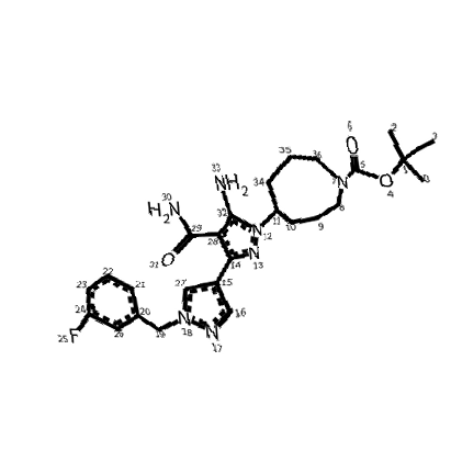 CC(C)(C)OC(=O)N1CCCC(n2nc(-c3cnn(Cc4cccc(F)c4)c3)c(C(N)=O)c2N)CCC1